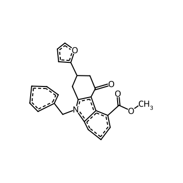 COC(=O)c1cccc2c1c1c(n2Cc2ccccc2)CC(c2ccco2)CC1=O